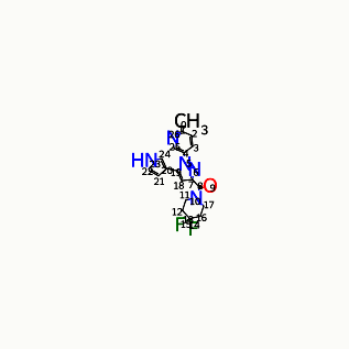 Cc1ccc(-n2nc(C(=O)N3CCC(F)(F)CC3)cc2-c2cc[nH]c2)cn1